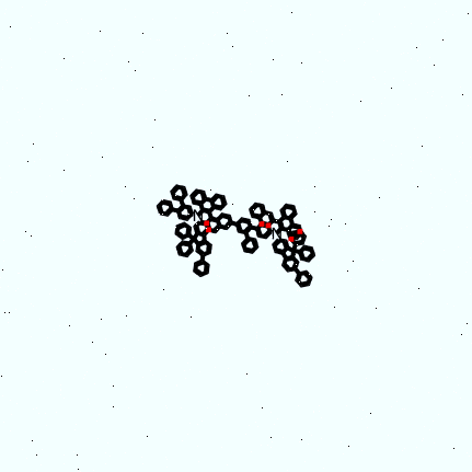 c1ccc(-c2ccc3c(c2)C(c2ccccc2)(c2ccccc2)c2cc(N(c4ccc(-c5ccc(-c6ccc7c(-c8c(N(c9ccc(-c%10ccccc%10)c(-c%10ccccc%10)c9)c9ccc%10c(c9)C(c9ccccc9)(c9ccccc9)c9cc(-c%11ccccc%11)ccc9-%10)c9ccccc9c9ccccc89)cccc7c6)cc5-c5ccccc5)cc4)c4c(-c5ccc6ccccc6c5)c5ccccc5c5ccccc45)ccc2-3)cc1